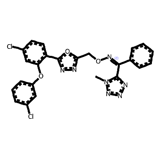 Cn1nnnc1/C(=N\OCc1nnc(-c2ccc(Cl)cc2Oc2cccc(Cl)c2)o1)c1ccccc1